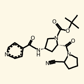 CC(C)(C)OC(=O)N1C[C@@H](NC(=O)c2ccncc2)C[C@H]1C(=O)N1CCCC1C#N